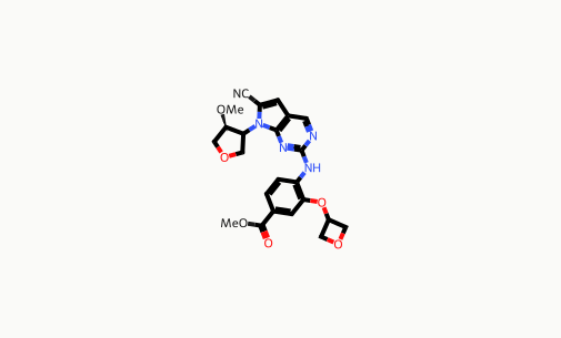 COC(=O)c1ccc(Nc2ncc3cc(C#N)n(C4COC[C@H]4OC)c3n2)c(OC2COC2)c1